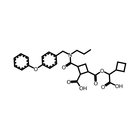 CCCN(Cc1ccc(Oc2ccccc2)cc1)C(=O)C1CC(C(=O)OC(C(=O)O)C2CCC2)C1C(=O)O